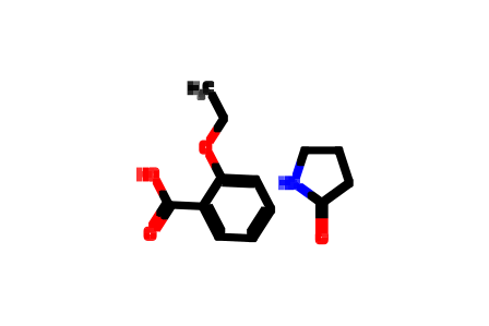 CCOc1ccccc1C(=O)O.O=C1CCCN1